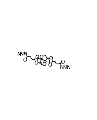 [N-]=[N+]=NC(=O)CCC(=O)O[C@@H]1CO[C@H]2[C@@H]1OC[C@H]2OC(=O)CCC(=O)N=[N+]=[N-]